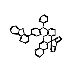 c1ccc(N(c2ccc(-c3cccc4c3oc3ccccc34)cc2)c2cccc3c2Sc2cc4ccccc4cc2C32c3ccccc3-c3ccccc32)cc1